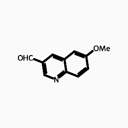 COc1ccc2ncc(C=O)cc2c1